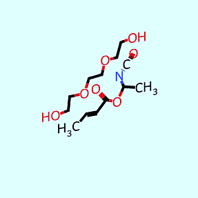 C/C=C/C(=O)OC(C)N=C=O.OCCOCCOCCO